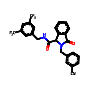 N#Cc1cccc(CN2C(=O)c3ccccc3C2C(=O)NCc2cc(C(F)(F)F)cc(C(F)(F)F)c2)c1